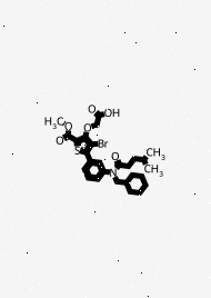 COC(=O)c1sc(-c2cccc(N(CC3CCCCC3)C(=O)CCC(C)C)c2)c(Br)c1OCC(=O)O